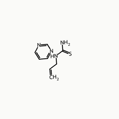 C=CCNC(N)=S.c1cncnc1